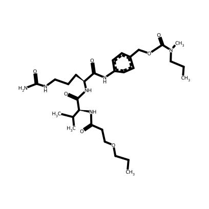 CCCOCCC(=O)N[C@H](C(=O)N[C@@H](CCCNC(N)=O)C(=O)Nc1ccc(COC(=O)N(C)CCC)cc1)C(C)C